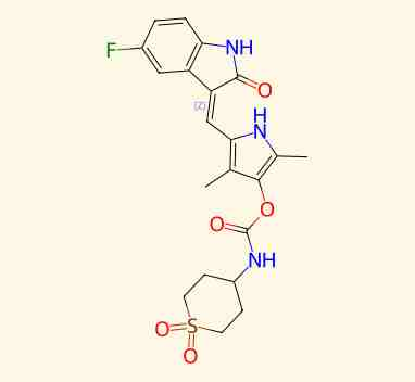 Cc1[nH]c(/C=C2\C(=O)Nc3ccc(F)cc32)c(C)c1OC(=O)NC1CCS(=O)(=O)CC1